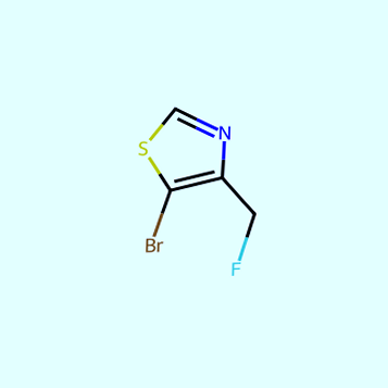 FCc1ncsc1Br